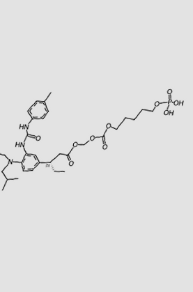 CC[C@@H](CC(=O)OCOC(=O)OCCCCCOP(=O)(O)O)c1ccc(N(CC(C)C)CC(C)C)c(NC(=O)Nc2ccc(C)cc2)c1